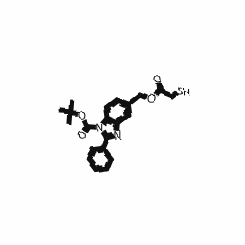 CC(C)(C)OC(=O)n1c(-c2ccccc2)nc2cc(COC(=O)CS)ccc21